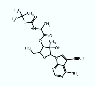 C#Cc1cn(C2OC(CO)C(OC(=O)C(C)NC(=O)OC(C)(C)C)C2(C)O)c2ncnc(N)c12